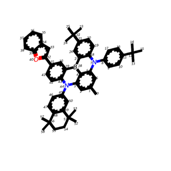 Cc1cc2c3c(c1)N(c1ccc(C(C)(C)C)cc1)c1ccc(C(C)(C)C)cc1B3c1cc(-c3cc4ccccc4o3)ccc1N2c1ccc2c(c1)C(C)(C)CCC2(C)C